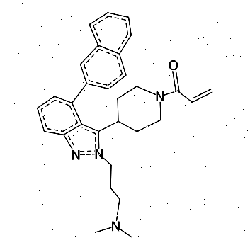 C=CC(=O)N1CCC(c2c3c(-c4ccc5ccccc5c4)cccc3nn2CCCN(C)C)CC1